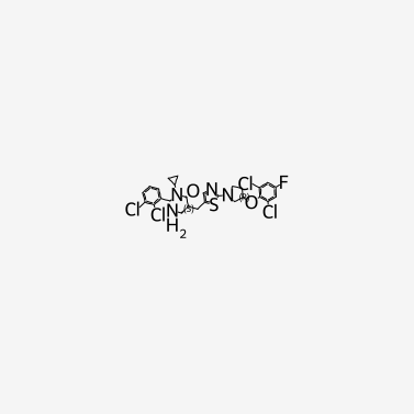 NC[C@H](Cc1cnc(N2CC[C@@H](Oc3c(Cl)cc(F)cc3Cl)C2)s1)C(=O)N(Cc1cccc(Cl)c1Cl)C1CC1